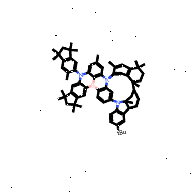 Cc1cc2c3c(c1)N(c1cc4c(cc1C)C(C)(C)CC4(C)C)c1cc4c(cc1B3c1ccc3cc1N2c1cc2c(cc1C)C(C)(C)CCC2(C)C1CCC2(C)c5cc(C(C)(C)C)ccc5N3C2(C)C1)C(C)(C)CC4(C)C